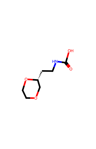 O=C(O)NCC[C@@H]1COCCO1